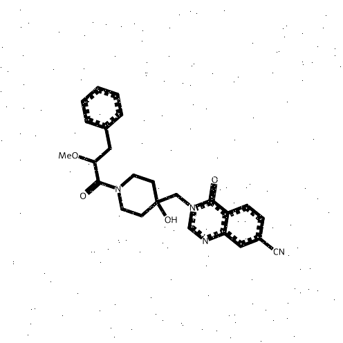 COC(Cc1ccccc1)C(=O)N1CCC(O)(Cn2cnc3cc(C#N)ccc3c2=O)CC1